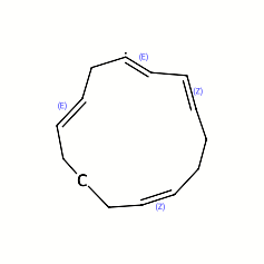 [C]1=C/C=C\CC/C=C\CCC/C=C/C/1